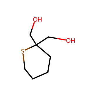 OCC1(CO)CCCCS1